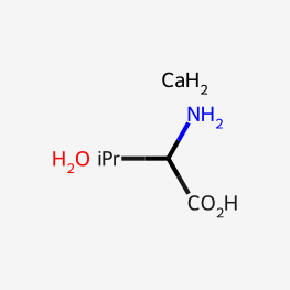 CC(C)C(N)C(=O)O.O.[CaH2]